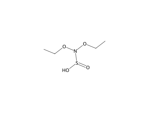 CCON(OCC)S(=O)O